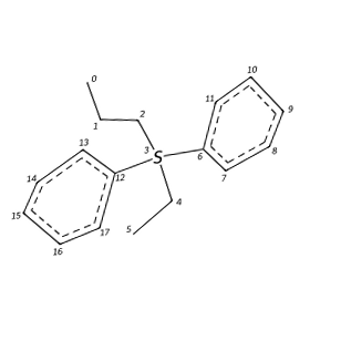 CCCS(CC)(c1ccccc1)c1ccccc1